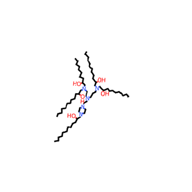 CCCCCCCCCCC(O)CN1CCN(CCN(CCCN(CC(O)CCCCCCCC)CC(O)CCCCCCCCCC)CCN(CC(O)CCCCCCCC)CC(O)CCCCCCCCCC)CC1